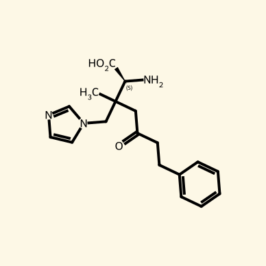 CC(CC(=O)CCc1ccccc1)(Cn1ccnc1)[C@H](N)C(=O)O